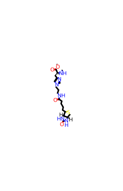 CN[C@@H](Cc1cn(CCCNC(=O)CCCCC2SC[C@@H]3NC(=O)N[C@H]23)cn1)C(=O)OC